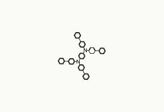 C1=C(c2ccccc2)CCC(N(c2ccc(-c3ccccc3)cc2)c2ccc(N(c3ccc(-c4ccccc4)cc3)c3ccc(-c4ccccc4)cc3)cc2)=C1